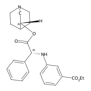 CCOC(=O)c1cccc(N[C@@H](C(=O)O[C@H]2CN3CCC2CC3)c2ccccc2)c1